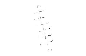 CC(C)(C)C(F)(F)C(F)(F)C(F)(F)C(F)(F)C(F)(F)C(F)(F)C(F)(F)F